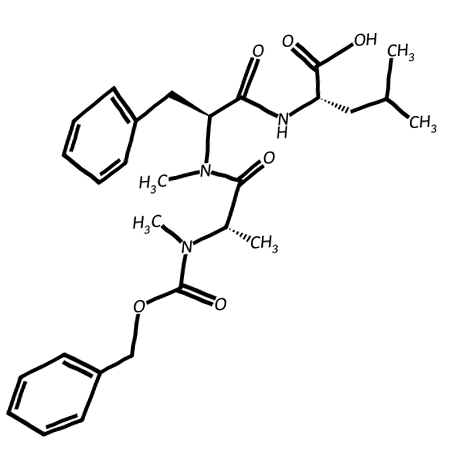 CC(C)C[C@H](NC(=O)[C@H](Cc1ccccc1)N(C)C(=O)[C@H](C)N(C)C(=O)OCc1ccccc1)C(=O)O